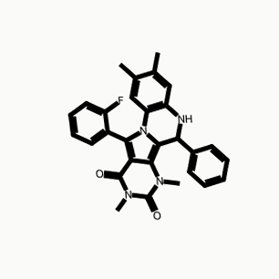 Cc1cc2c(cc1C)-n1c(-c3ccccc3F)c3c(=O)n(C)c(=O)n(C)c3c1C(c1ccccc1)N2